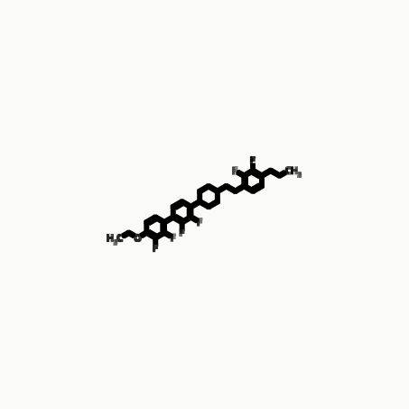 CCCc1ccc(CCC2CCC(c3ccc(-c4ccc(OCC)c(F)c4F)c(F)c3F)CC2)c(F)c1F